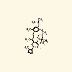 COc1cc(CC/C(C)=C(/N=C(\C)c2sccc2C)C(=O)N2CCOCC2(C)C)c(C)cc1OC(C)C